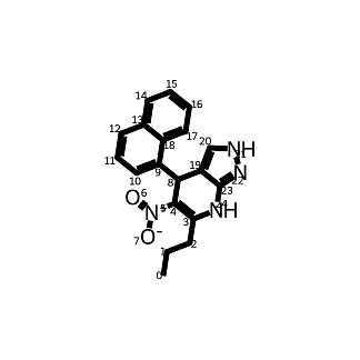 CCCC1=C([N+](=O)[O-])C(c2cccc3ccccc23)c2c[nH]nc2N1